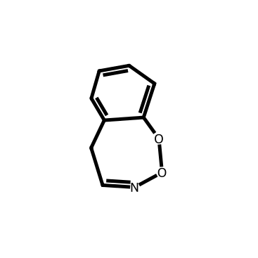 C1=NOOc2ccccc2C1